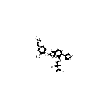 C[C@@H]1CN(C[SH](=O)=O)CC[C@@H]1Nc1nc2ccc(-c3cn[nH]c3)c(OCC(F)(F)C(F)F)n2n1